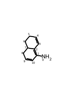 NC1=C2C=CCCC2CC=C1